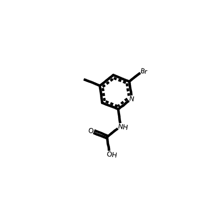 Cc1cc(Br)nc(NC(=O)O)c1